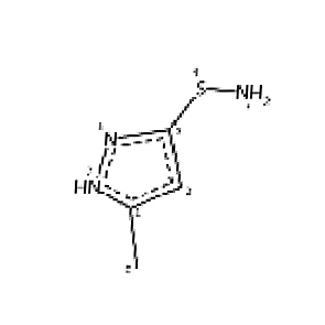 Cc1cc(SN)n[nH]1